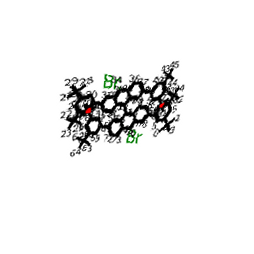 CC(C)(C)c1cc(-c2ccc3c(-c4c5ccc(-c6cc(C(C)(C)C)cc(C(C)(C)C)c6)cc5c(Br)c5ccc(-c6cc(C(C)(C)C)cc(C(C)(C)C)c6)cc45)c4cc(-c5cc(C(C)(C)C)cc(C(C)(C)C)c5)ccc4c(Br)c3c2)cc(C(C)(C)C)c1